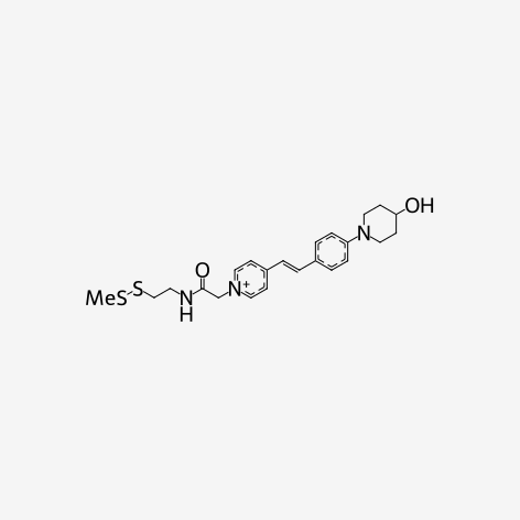 CSSCCNC(=O)C[n+]1ccc(/C=C/c2ccc(N3CCC(O)CC3)cc2)cc1